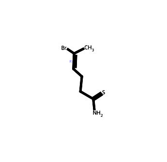 C/C(Br)=C\CCC(N)=S